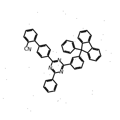 N#Cc1ccccc1-c1ccc(-c2nc(-c3ccccc3)nc(-c3cccc(C4(c5ccccc5)c5ccccc5-c5ccccc54)c3)n2)cc1